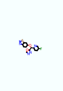 Fc1ccc(C(Oc2ccc3nnsc3c2)c2nnco2)nc1